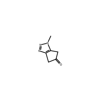 Cn1nnc2c1CC(=O)C2